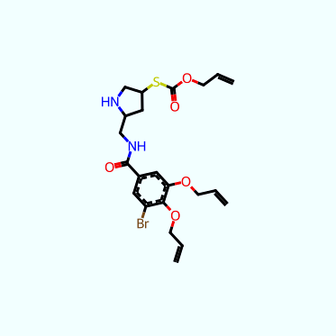 C=CCOC(=O)SC1CNC(CNC(=O)c2cc(Br)c(OCC=C)c(OCC=C)c2)C1